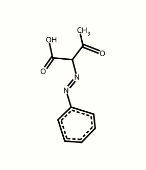 CC(=O)C(N=Nc1ccccc1)C(=O)O